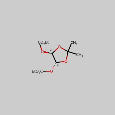 CCOC(=O)O[C@H]1OC(C)(C)O[C@@H]1OC(=O)OCC